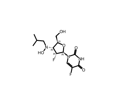 CC(C)CN(O)[C@H]1[C@@H](F)[C@H](n2cc(F)c(=O)[nH]c2=O)O[C@@H]1CO